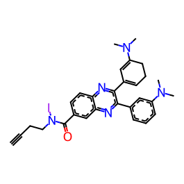 C#CCCN(I)C(=O)c1ccc2nc(C3=CCCC(N(C)C)=C3)c(-c3cccc(N(C)C)c3)nc2c1